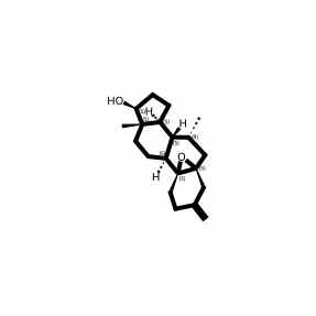 C=C1CC[C@@]23O[C@]2(C1)C[C@@H](C)[C@H]1[C@@H]2CC[C@H](O)[C@@]2(C)CC[C@@H]13